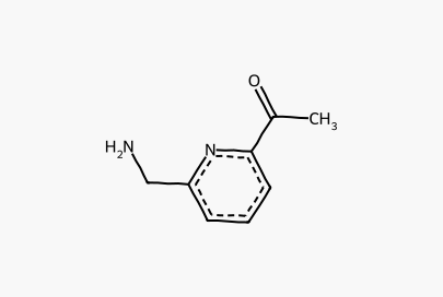 CC(=O)c1cccc(CN)n1